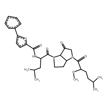 COC(CCC(C)C)C(=O)N1CC(=O)C2C1CCN2C(=O)C(CC(C)C)NC(=O)c1ccc(-c2ccccc2)s1